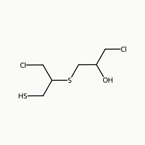 OC(CCl)CSC(CS)CCl